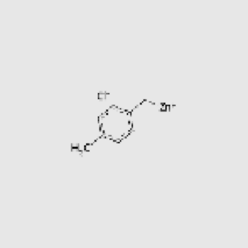 Cc1ccc([CH2][Zn+])cc1.[Cl-]